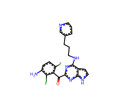 Nc1ccc(F)c(C(=O)c2nc(NCCCc3cccnc3)c3cc[nH]c3n2)c1F